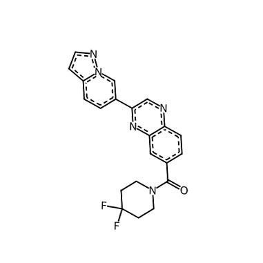 O=C(c1ccc2ncc(-c3ccc4ccnn4c3)nc2c1)N1CCC(F)(F)CC1